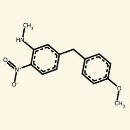 CNc1cc(Cc2ccc(OC)cc2)ccc1[N+](=O)[O-]